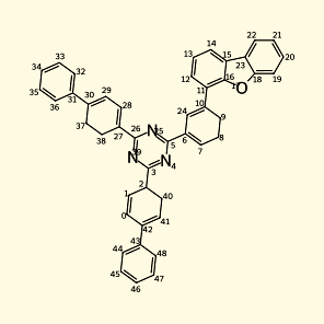 C1=CC(c2nc(C3=CCCC(c4cccc5c4oc4ccccc45)=C3)nc(C3=CC=C(c4ccccc4)CC3)n2)CC=C1c1ccccc1